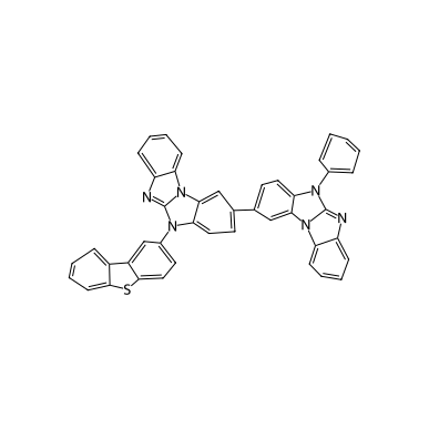 c1ccc(-n2c3ccc(-c4ccc5c(c4)n4c6ccccc6nc4n5-c4ccc5sc6ccccc6c5c4)cc3n3c4ccccc4nc23)cc1